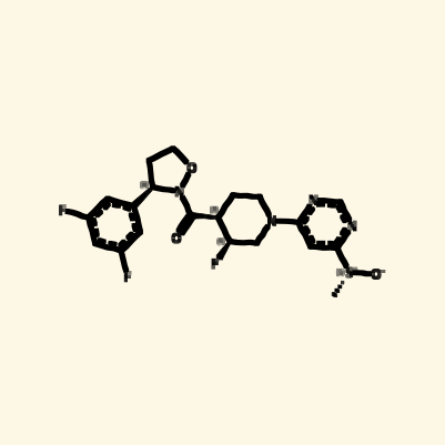 C[S@@+]([O-])c1cc(N2CC[C@H](C(=O)N3OCC[C@@H]3c3cc(F)cc(F)c3)[C@H](F)C2)ncn1